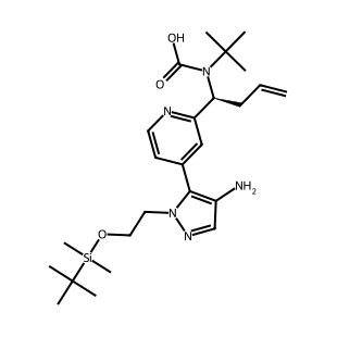 C=CC[C@@H](c1cc(-c2c(N)cnn2CCO[Si](C)(C)C(C)(C)C)ccn1)N(C(=O)O)C(C)(C)C